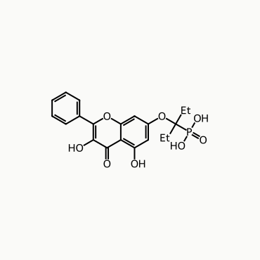 CCC(CC)(Oc1cc(O)c2c(=O)c(O)c(-c3ccccc3)oc2c1)P(=O)(O)O